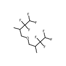 CC(COCC(C)C(F)(F)C(F)F)C(F)(F)C(F)F